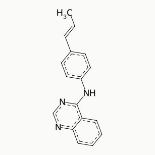 CC=Cc1ccc(Nc2ncnc3ccccc23)cc1